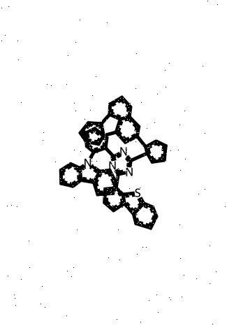 c1ccc(-c2nc(-c3ccccc3-n3c4ccccc4c4ccccc43)nc(-c3cccc4c3sc3ccccc34)n2)c(-c2cc3c4c(cccc4c2)-c2ccccc2-3)c1